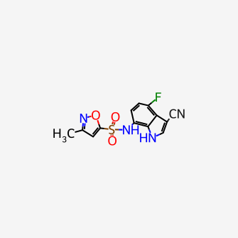 Cc1cc(S(=O)(=O)Nc2ccc(F)c3c(C#N)c[nH]c23)on1